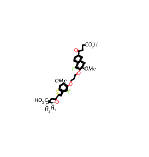 COc1cc2cc(C(=O)CCC(=O)O)ccc2c(F)c1OCCCOc1c(OC)cc2sc(C(=O)CC(C)(C)C(=O)O)cc2c1F